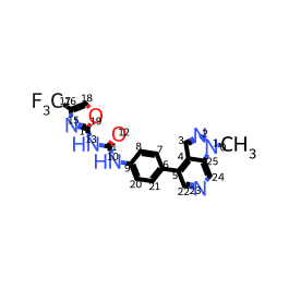 Cn1ncc2c(-c3ccc(NC(=O)Nc4nc(C(F)(F)F)co4)cc3)cncc21